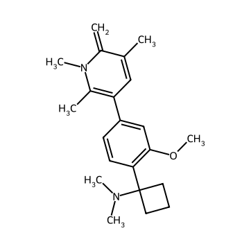 C=C1C(C)=CC(c2ccc(C3(N(C)C)CCC3)c(OC)c2)=C(C)N1C